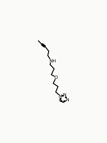 CC#CCCNCCCOCCCn1ccnn1